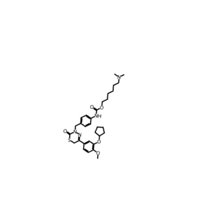 COc1ccc(C2=NN(Cc3ccc(NC(=O)OCCCCCCN(C)C)cc3)C(=O)SC2)cc1OC1CCCC1